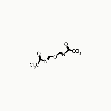 O=C(N=COC=NC(=O)C(Cl)(Cl)Cl)C(Cl)(Cl)Cl